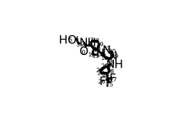 O=C(NCCO)c1cccc2c1CCN2c1cc(Nc2cccc(C(F)(F)F)c2)ncn1